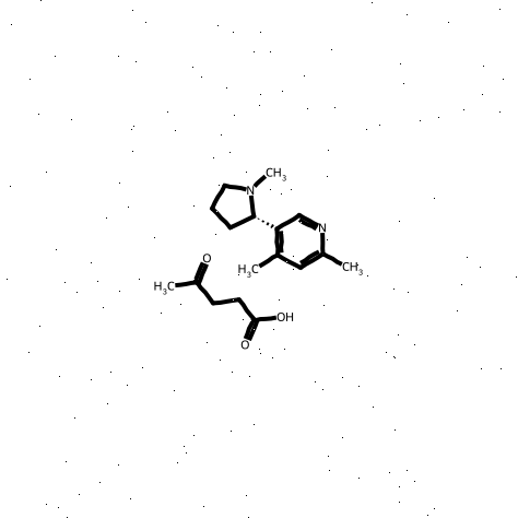 CC(=O)CCC(=O)O.Cc1cc(C)c([C@@H]2CCCN2C)cn1